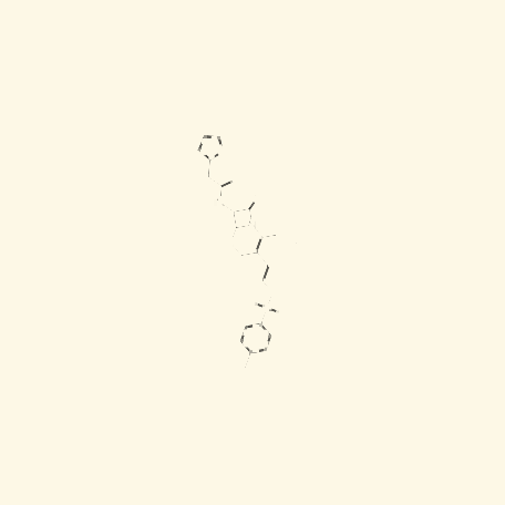 Cc1ccc(S(=O)(=O)O/C=C/C2=C(C(=O)O)N3C(=O)C(NC(=O)Cc4cccs4)C3SC2)cc1